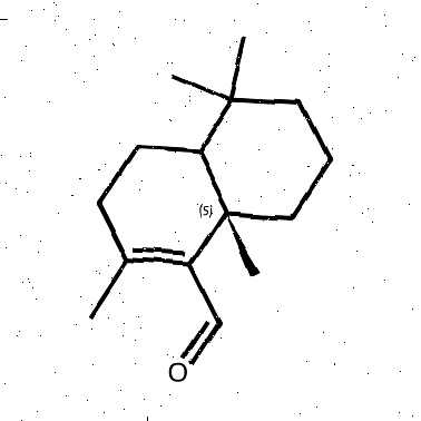 CC1=C(C=O)[C@@]2(C)CCCC(C)(C)C2CC1